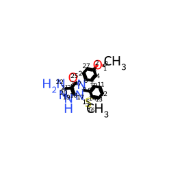 CCOc1ccc(-n2c(-c3ccccc3SC)nc3[nH]nc(N)c3c2=O)cc1